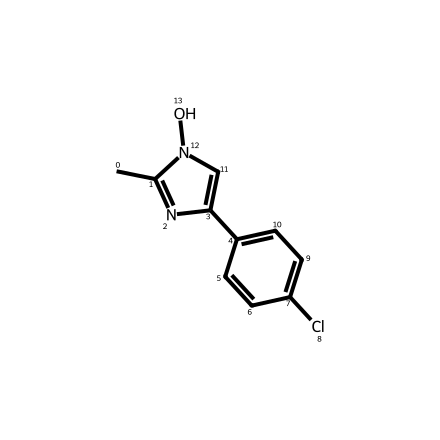 Cc1nc(-c2ccc(Cl)cc2)cn1O